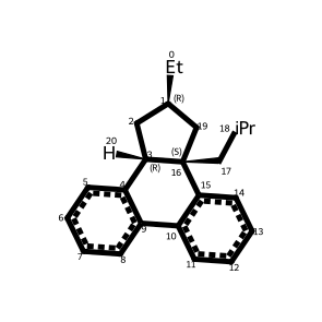 CC[C@@H]1C[C@H]2c3ccccc3-c3ccccc3[C@@]2(CC(C)C)C1